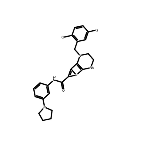 O=C(Nc1cccc(N2CCCC2)c1)c1c2c3c(n1-2)NCCN3Cc1cc(Cl)ccc1Cl